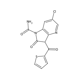 NC(=O)N1C(=O)C(C(=O)c2cccs2)c2ncc(Cl)cc21